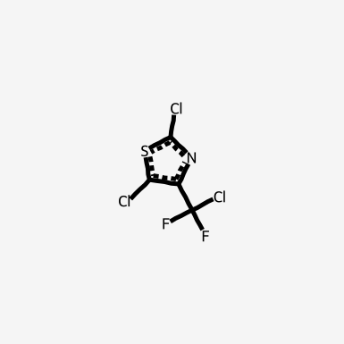 FC(F)(Cl)c1nc(Cl)sc1Cl